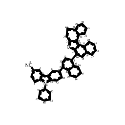 N#Cc1ccc2c(c1)c1cc(-c3ccc(-c4cc5ccccc5c5c4oc4ccc6ccccc6c45)c4ccccc34)ccc1n2-c1ccccc1